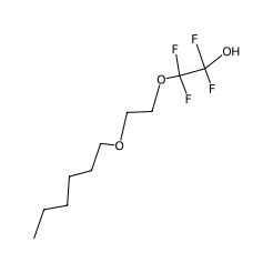 CCCCCCOCCOC(F)(F)C(O)(F)F